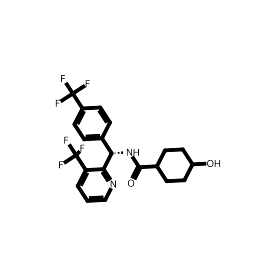 O=C(N[C@@H](c1ccc(C(F)(F)F)cc1)c1ncccc1C(F)(F)F)C1CCC(O)CC1